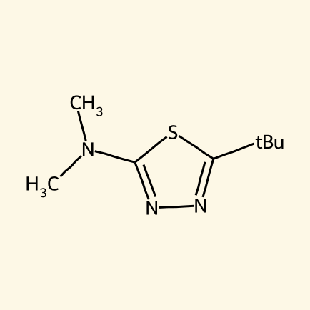 CN(C)c1nnc(C(C)(C)C)s1